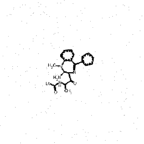 CCC(=O)NC(C)C(=O)C1N=C(c2ccccc2)c2ccccc2N(C)[C@@H]1N